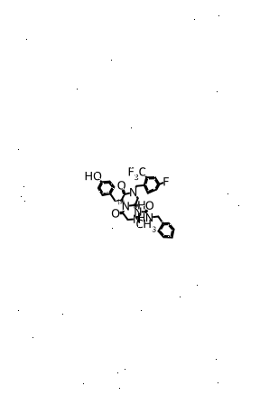 CN1CC(=O)N2[C@@H](Cc3ccc(O)cc3)C(=O)N(Cc3ccc(F)cc3C(F)(F)F)C[C@@H]2N1C(=O)NCc1ccccc1